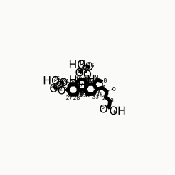 C[C@H](CCC(=O)O)[C@H]1CC[C@H]2[C@@H]3[C@@H](OS(=O)(=O)O)C[C@@H]4C[C@H](OS(=O)(=O)O)CC[C@]4(C)[C@H]3CC[C@]12C